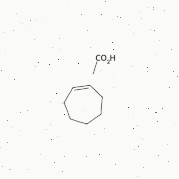 C1=CCCCCC1.CC(=O)O